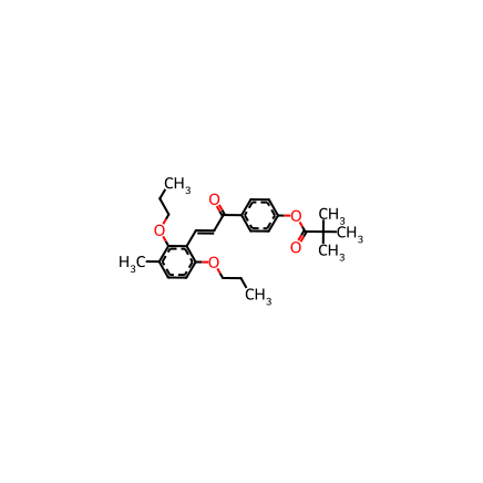 CCCOc1ccc(C)c(OCCC)c1C=CC(=O)c1ccc(OC(=O)C(C)(C)C)cc1